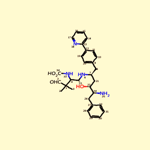 CC(C)(C=O)C(CN[C@@H](Cc1ccc(-c2ccccn2)cc1)C[C@H](O)[C@@H](N)Cc1ccccc1)NC(=O)O